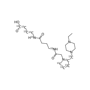 CCN1CCN([13CH2][13CH]2[13CH2][13CH2][13CH2]N2CC(=O)[15NH]CCCC(=O)[15NH][13CH2][13CH2][13CH2][13C](=O)O)CC1